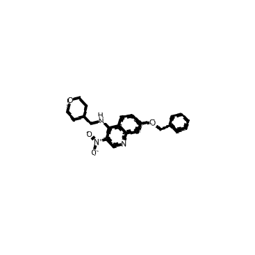 O=[N+]([O-])c1cnc2cc(OCc3ccccc3)ccc2c1NCC1CCOCC1